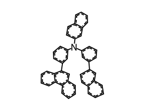 c1cc(-c2ccc3ccccc3c2)cc(N(c2cccc(-c3cc4ccccc4c4ccccc34)c2)c2ccc3ccccc3c2)c1